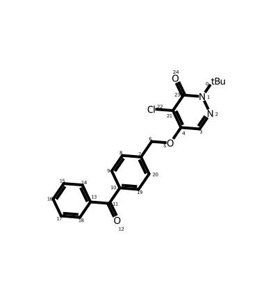 CC(C)(C)n1ncc(OCc2ccc(C(=O)c3ccccc3)cc2)c(Cl)c1=O